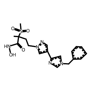 CC(CCn1cc(-c2cn(Cc3ccccc3)cn2)cn1)(C(=O)NO)S(C)(=O)=O